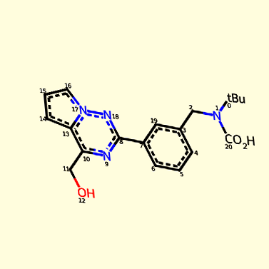 CC(C)(C)N(Cc1cccc(-c2nc(CO)c3cccn3n2)c1)C(=O)O